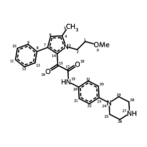 COCCn1c(C)cc(-c2ccccc2)c1C(=O)C(=O)Nc1ccc(N2CCNCC2)cc1